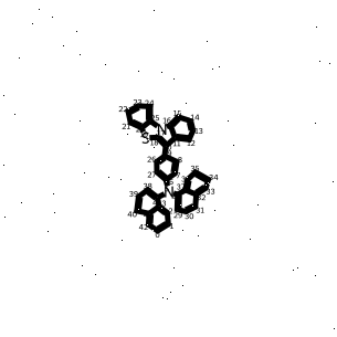 c1ccc2c(N(c3ccc(-c4c5ccccc5n5c4sc4ccccc45)cc3)c3cccc4ccccc34)cccc2c1